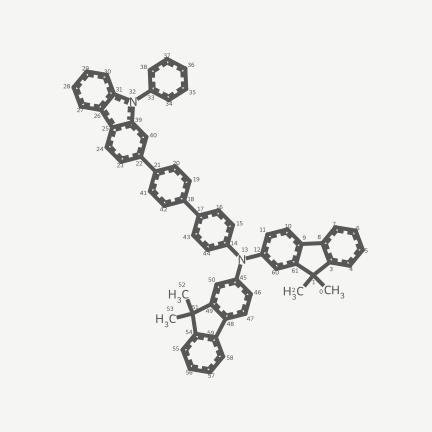 CC1(C)c2ccccc2-c2ccc(N(c3ccc(-c4ccc(-c5ccc6c7ccccc7n(-c7ccccc7)c6c5)cc4)cc3)c3ccc4c(c3)C(C)(C)c3ccccc3-4)cc21